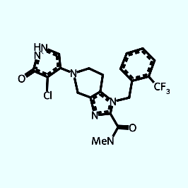 CNC(=O)c1nc2c(n1Cc1ccccc1C(F)(F)F)CCN(c1cn[nH]c(=O)c1Cl)C2